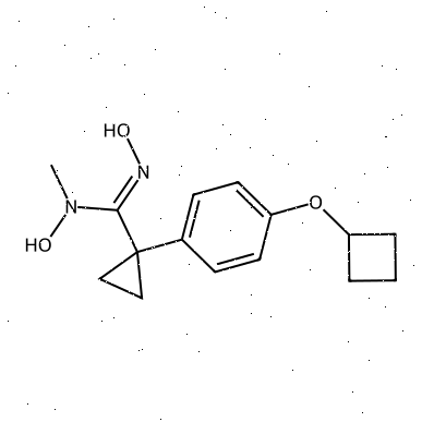 CN(O)/C(=N\O)C1(c2ccc(OC3CCC3)cc2)CC1